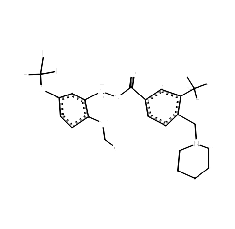 CCSc1ccc(OC(F)(F)F)cc1NNC(=O)c1ccc(CN2CCCCC2)c(C(F)(F)F)c1